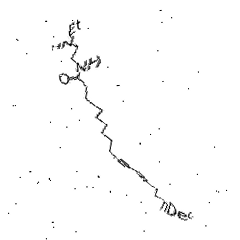 CCCCCCCCCCCCC#CC#CCCCCCCCCC(=O)NCCNCC